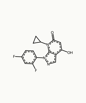 O=c1cc(O)c2cnn(-c3ccc(F)cc3F)c2n1C1CC1